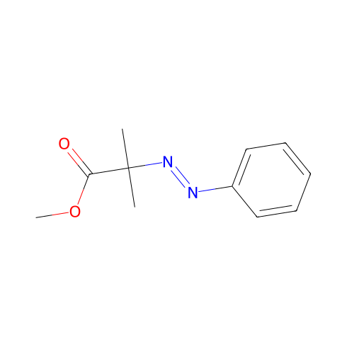 COC(=O)C(C)(C)N=Nc1ccccc1